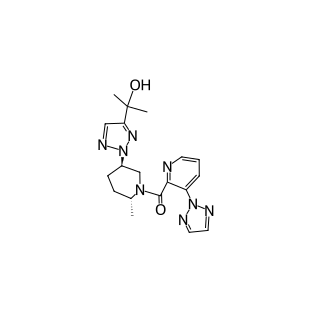 C[C@@H]1CC[C@@H](n2ncc(C(C)(C)O)n2)CN1C(=O)c1ncccc1-n1nccn1